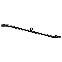 CCCCCCCCCCCCCCCCCCCCCCCC(=O)CCCCCCCCCCCCCCCCCCCCCCC